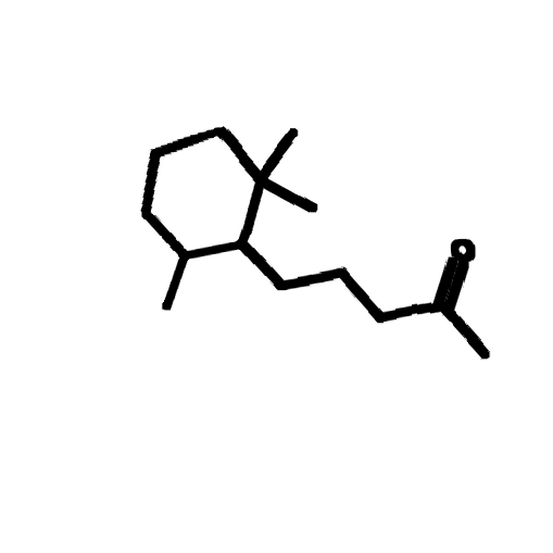 CC(=O)CCCC1C(C)CCCC1(C)C